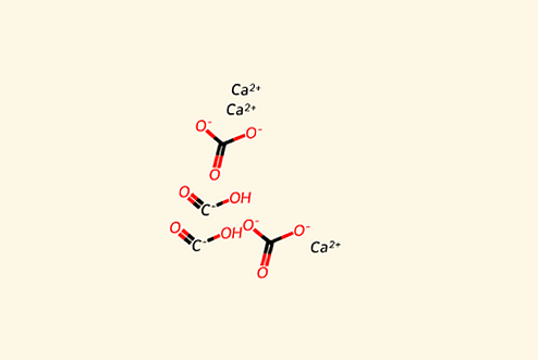 O=C([O-])[O-].O=C([O-])[O-].O=[C-]O.O=[C-]O.[Ca+2].[Ca+2].[Ca+2]